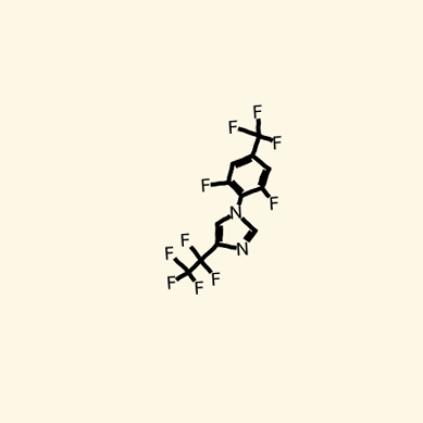 Fc1cc(C(F)(F)F)cc(F)c1-n1cnc(C(F)(F)C(F)(F)F)c1